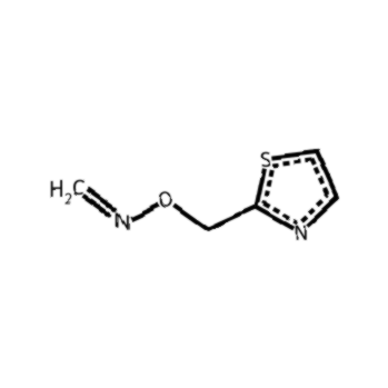 C=NOCc1nccs1